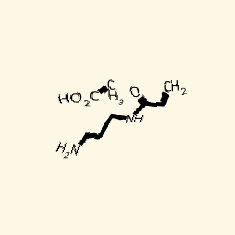 C=CC(=O)NCCCN.CC(=O)O